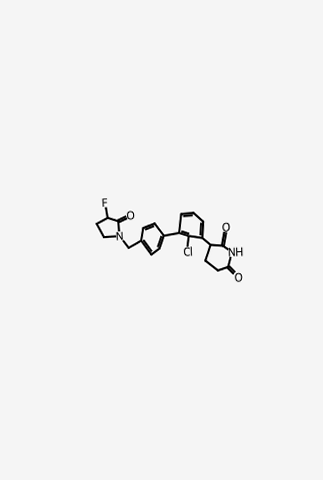 O=C1CCC(c2cccc(-c3ccc(CN4CCC(F)C4=O)cc3)c2Cl)C(=O)N1